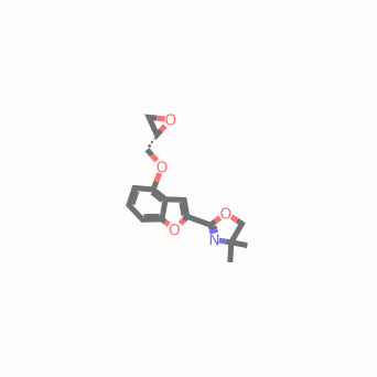 CC1(C)COC(c2cc3c(OC[C@@H]4CO4)cccc3o2)=N1